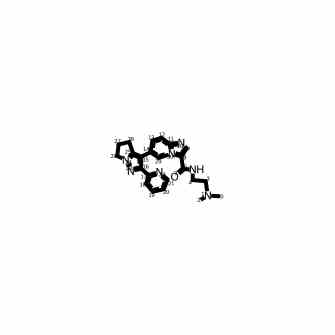 CN(C)CCNC(=O)c1cnc2ccc(-c3c(-c4ccccn4)nn4c3CCC4)cn12